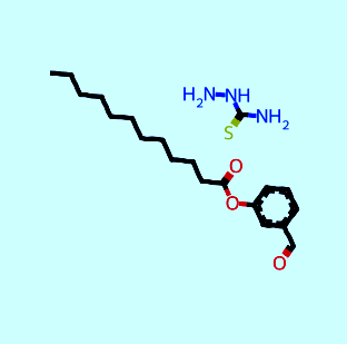 CCCCCCCCCCCC(=O)Oc1cccc(C=O)c1.NNC(N)=S